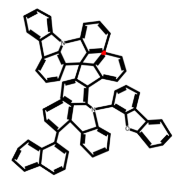 c1ccc(-c2cccc3ccccc23)c(-c2ccccc2N(c2cccc3c2-c2ccccc2C32c3ccccc3-n3c4ccccc4c4cccc2c43)c2cccc3c2oc2ccccc23)c1